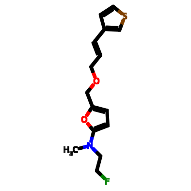 CN(CCF)c1ccc(COCC=Cc2ccsc2)o1